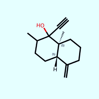 C#CC1(O)C(C)CC[C@H]2C(=C)CCC[C@@]21C